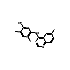 Cc1ccc2ncnc(Nc3cc(O)c(C)cc3F)c2c1